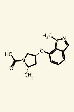 C[C@H]1C[C@@H](Oc2cccc3cnn(C)c23)CN1C(=O)O